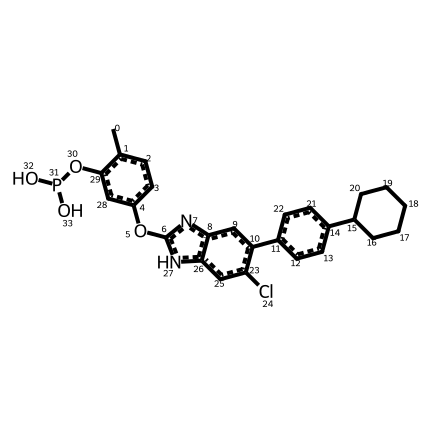 Cc1ccc(Oc2nc3cc(-c4ccc(C5CCCCC5)cc4)c(Cl)cc3[nH]2)cc1OP(O)O